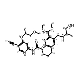 COCC(C)Oc1cc(NC(=O)N2CCCc3cc(CNC(C)CO)c(C(OC)OC)nc32)ncc1C#N